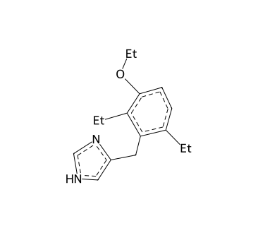 CCOc1ccc(CC)c(Cc2c[nH]cn2)c1CC